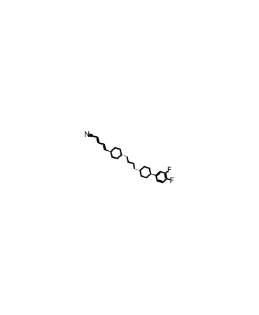 N#C/C=C/C=C/[C@H]1CC[C@H](CCCC[C@H]2CC[C@H](c3ccc(F)c(F)c3)CC2)CC1